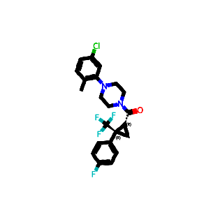 Cc1ccc(Cl)cc1N1CCN(C(=O)[C@@H]2C[C@@]2(c2ccc(F)cc2)C(F)(F)F)CC1